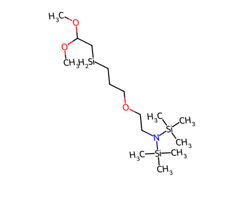 COC(C[SiH2]CCCOCCN([Si](C)(C)C)[Si](C)(C)C)OC